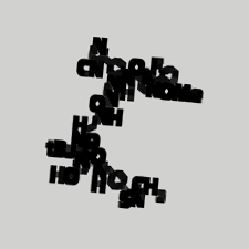 COc1cccc(F)c1-c1nccc(C(=O)Nc2ccc(-c3cnccc3C#N)cc2N2CCN(CC(=O)NCCCC(=O)N[C@H](C(=O)N3C[C@H](O)C[C@H]3C(=O)NCc3ccc(-c4scnc4C)cc3)C(C)(C)C)CC2)n1